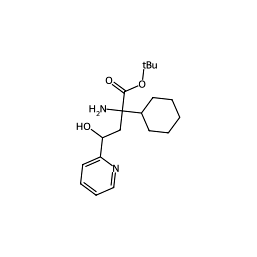 CC(C)(C)OC(=O)C(N)(CC(O)c1ccccn1)C1CCCCC1